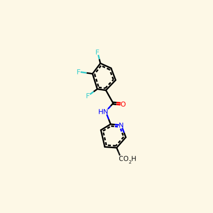 O=C(O)c1ccc(NC(=O)c2ccc(F)c(F)c2F)nc1